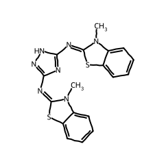 Cn1c(=Nc2n[nH]c(N=c3sc4ccccc4n3C)n2)sc2ccccc21